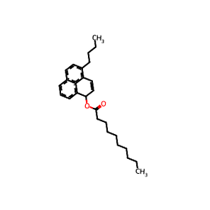 CCCCCCCCCC(=O)OC1C=Cc2c(CCCC)ccc3cccc1c23